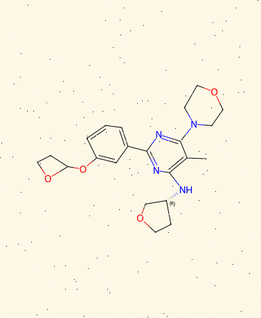 Cc1c(N[C@@H]2CCOC2)nc(-c2cccc(OC3CCO3)c2)nc1N1CCOCC1